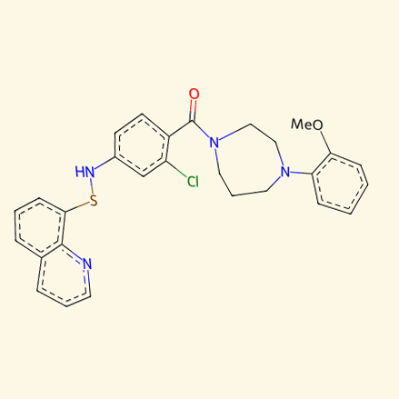 COc1ccccc1N1CCCN(C(=O)c2ccc(NSc3cccc4cccnc34)cc2Cl)CC1